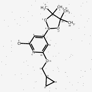 CC1(C)OB(c2cc(Cl)nc(OCC3CC3)c2)OC1(C)C